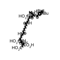 CC(C)(C)[Si](F)(c1ccc(C(=O)NCC(N=[N+]=[N-])C(=O)N[C@H](CCCCNC(=O)CCCCCCC(=O)NCCCC[C@H](NC(=O)N[C@@H](CCC(=O)O)C(=O)O)C(=O)O)C(=O)O)cc1)C(C)(C)C